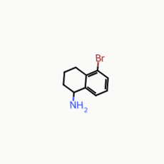 NC1CCCc2c(Br)cccc21